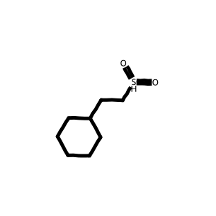 O=[SH](=O)CCC1CCCCC1